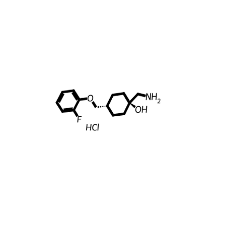 Cl.NC[C@]1(O)CC[C@H](COc2ccccc2F)CC1